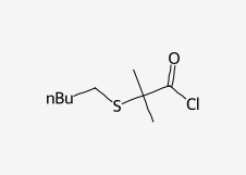 CCCCCSC(C)(C)C(=O)Cl